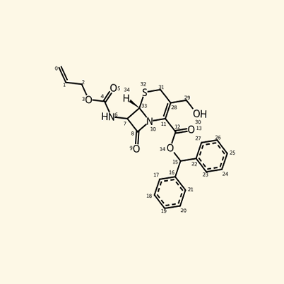 C=CCOC(=O)NC1C(=O)N2C(C(=O)OC(c3ccccc3)c3ccccc3)=C(CO)CS[C@@H]12